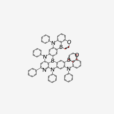 c1ccc(-c2cc3c4c(n2)N(c2ccccc2)c2cc5c(cc2B4c2cc4c(cc2N3c2ccccc2)N(c2ccccc2)c2cccc3c2B4c2ccccc2O3)B2c3ccccc3Oc3cccc(c32)N5c2ccccc2)cc1